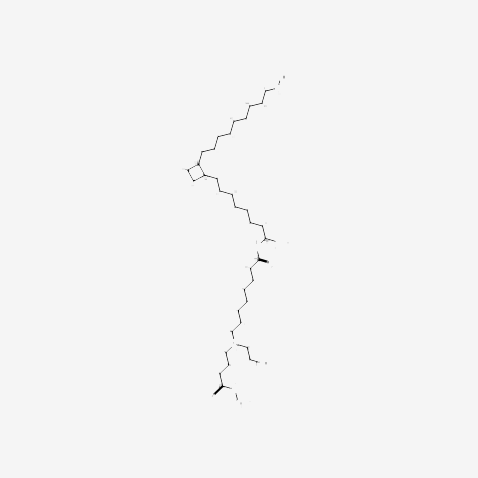 C=C(CCCN(CCO)CCCCCCCC(=O)OC(CCCCCCCC)CCCCCCCC1CCC1CCCCCCCCCOCCC)OCCCCCCCCCC